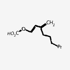 C=C(C=COC(=O)O)CCCC(C)C